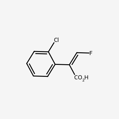 O=C(O)C(=CF)c1ccccc1Cl